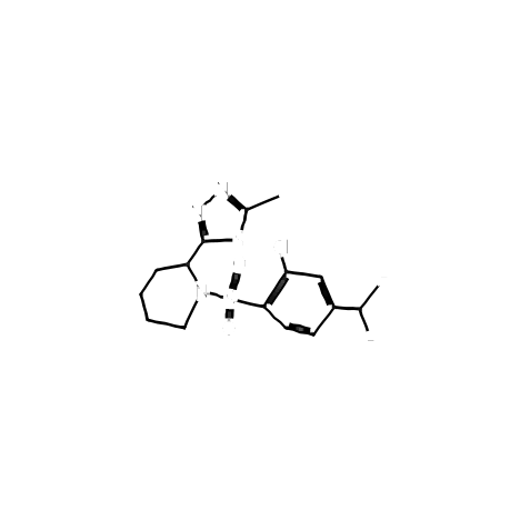 Cc1nnc(C2CCCCN2S(=O)(=O)c2ccc(C(F)F)cc2Cl)s1